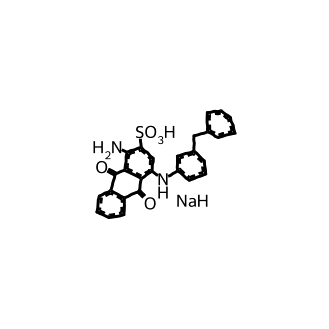 Nc1c(S(=O)(=O)O)cc(Nc2cccc(Cc3ccccc3)c2)c2c1C(=O)c1ccccc1C2=O.[NaH]